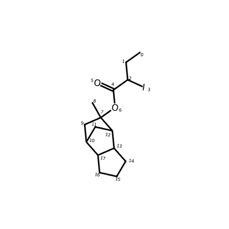 CCC(I)C(=O)OC1(C)CC2CC1C1CCCC21